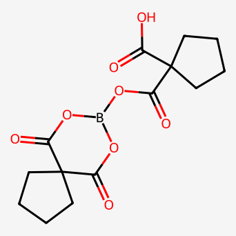 O=C(O)C1(C(=O)OB2OC(=O)C3(CCCC3)C(=O)O2)CCCC1